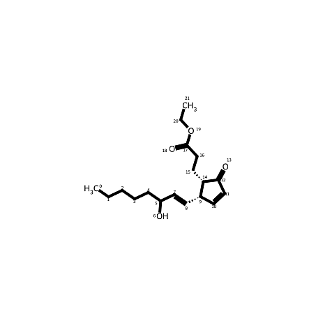 CCCCCC(O)/C=C/[C@H]1C=CC(=O)[C@H]1CCC(=O)OCC